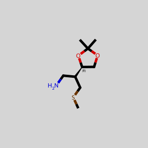 CSCC(CN)[C@@H]1COC(C)(C)O1